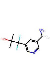 C[C@@H](N)c1cncc(C(F)(F)C(C)(C)O)c1